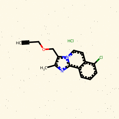 C#CCOCc1c(C)nc2c3cccc(Cl)c3ccn12.Cl